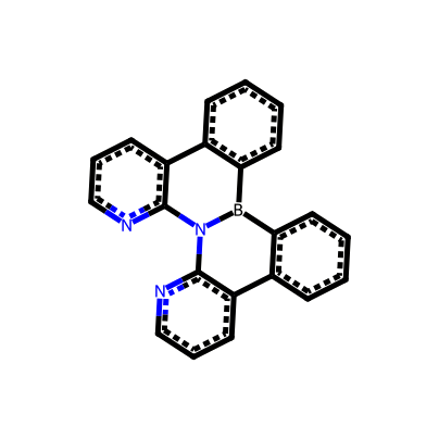 c1ccc2c(c1)B1c3ccccc3-c3cccnc3N1c1ncccc1-2